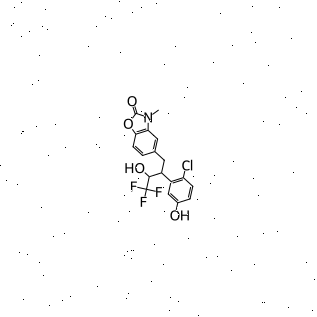 Cn1c(=O)oc2ccc(CC(c3cc(O)ccc3Cl)C(O)C(F)(F)F)cc21